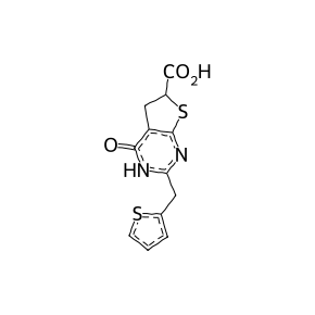 O=C(O)C1Cc2c(nc(Cc3cccs3)[nH]c2=O)S1